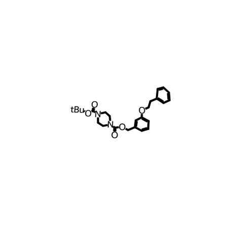 CC(C)(C)OC(=O)N1CCN(C(=O)OCc2cccc(OCCc3ccccc3)c2)CC1